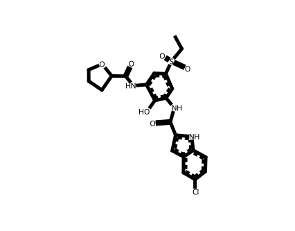 CCS(=O)(=O)c1cc(NC(=O)c2cc3cc(Cl)ccc3[nH]2)c(O)c(NC(=O)C2CCCO2)c1